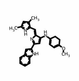 COC1=CC=C(NC2=CC(c3cc4ccccc4[nH]3)=N/C2=C\c2[nH]c(C)cc2C)CC1